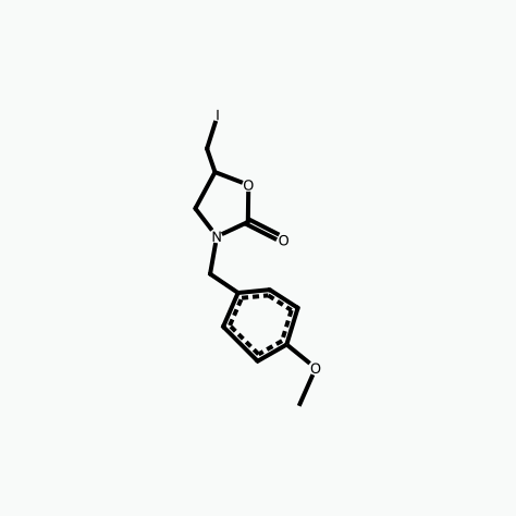 COc1ccc(CN2CC(CI)OC2=O)cc1